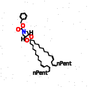 CCCCC/C=C\C/C=C\CCCCCCCCC1(CCCCCCCC/C=C\C/C=C\CCCCC)O[C@H]2CN(C(=O)OCc3ccccc3)C[C@H]2O1